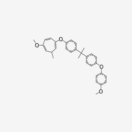 COC1=CC(C)C=C(Oc2ccc(C(C)(C)c3ccc(Oc4ccc(OC)cc4)cc3)cc2)C=C1